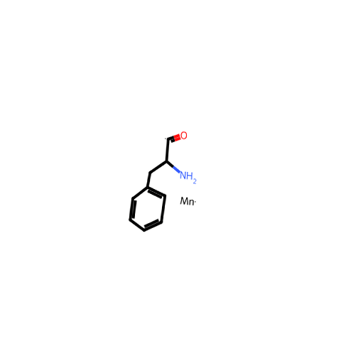 NC([C]=O)Cc1ccccc1.[Mn]